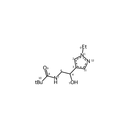 CCn1cc(C(O)CNC(=O)C(C)(C)C)cn1